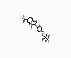 FC(F)(F)c1ccc2nc(-c3ccc(OCC(F)(F)C(F)(F)F)cn3)c(I)n2c1